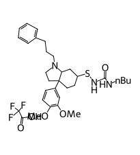 CCCCNC(=O)NSC1CCC2(c3ccc(OC)c(OC)c3)CCN(CCCc3ccccc3)C2C1.O=C(O)C(F)(F)F